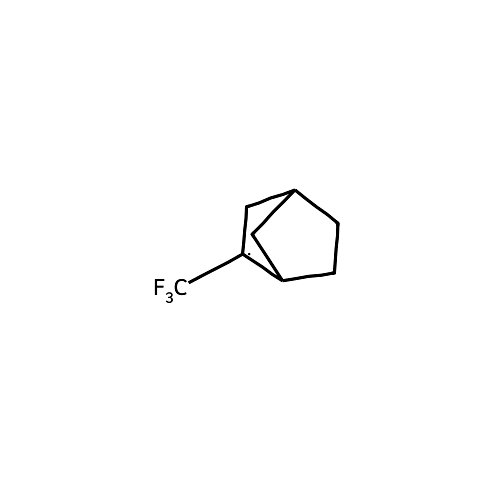 FC(F)(F)[C]1CC2CCC1C2